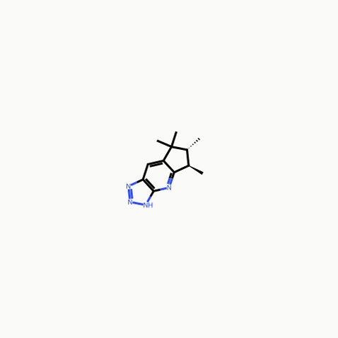 C[C@@H]1[C@@H](C)c2nc3[nH]nnc3cc2C1(C)C